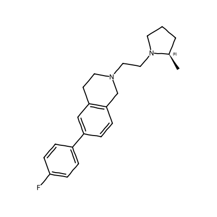 C[C@@H]1CCCN1CCN1CCc2cc(-c3ccc(F)cc3)ccc2C1